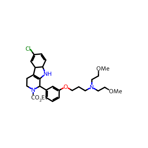 CCOC(=O)N1CCC2=C(NC3C=CC(Cl)=CC23)C1c1cccc(OCCCN(CCOC)CCOC)c1